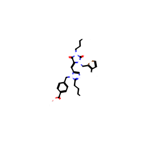 CCCCc1ncc(C=C2C(=O)N(CCCC)C(=O)N2Cc2sccc2C)n1Cc1ccc(C(=O)OC)cc1